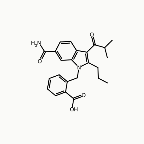 CCCc1c(C(=O)C(C)C)c2ccc(C(N)=O)cc2n1Cc1ccccc1C(=O)O